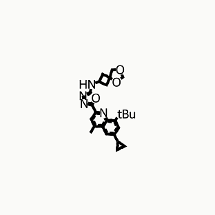 Cc1cc(-c2nnc(NC3CC4(COCO4)C3)o2)nc2c(C(C)(C)C)cc(C3CC3)cc12